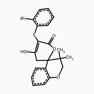 CC(C)c1ccccc1SC1=C(O)CC2(OC1=O)c1ccccc1OCC2(C)C